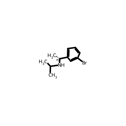 CC(C)N[C@H](C)c1cccc(Br)c1